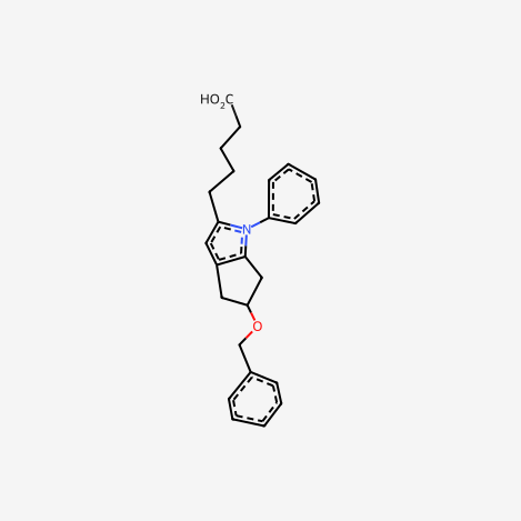 O=C(O)CCCCc1cc2c(n1-c1ccccc1)CC(OCc1ccccc1)C2